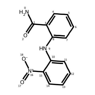 NC(=O)c1ccccc1Nc1ccccc1[N+](=O)[O-]